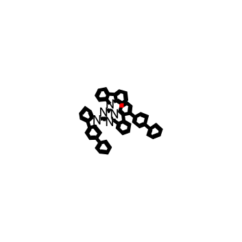 c1ccc(-c2ccc(-c3ccccc3-c3ccccc3-c3nc(-n4c5ccccc5c5ccccc54)nc(-n4c5ccccc5c5ccc(-c6ccccc6)cc54)n3)cc2)cc1